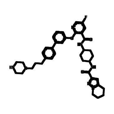 O=C(NC1CCC(NC(=O)c2cc(F)cnc2Oc2cccc(-c3ccc(CCCN4CCNCC4)cc3)c2)CC1)c1cc2n(n1)CCCC2